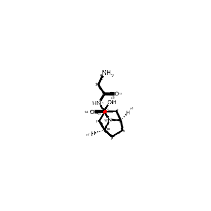 NCC(=O)N[C@H]1C[C@H]2CC[C@@H](C1)N2C(=O)O